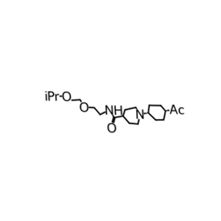 CC(=O)[C@H]1CC[C@@H](N2CCC(C(=O)NCCOCCOC(C)C)CC2)CC1